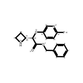 O=C(OCc1ccccc1)C(Oc1ccc(F)nc1)[C@H]1CCN1